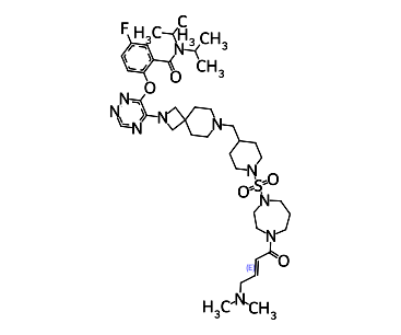 CC(C)N(C(=O)c1cc(F)ccc1Oc1nncnc1N1CC2(CCN(CC3CCN(S(=O)(=O)N4CCCN(C(=O)/C=C/CN(C)C)CC4)CC3)CC2)C1)C(C)C